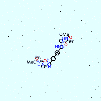 COC(=O)NC(C(=O)N1CCC[C@H]1c1ncc(C23CCC(c4ccc(-c5cnc([C@@H]6CCCN6C(=O)[C@H](CC(C)C)NC(=O)OC)[nH]5)cc4)(CC2)CC3)[nH]1)C(C)C